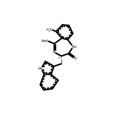 CSC1=N[C@@H](Cc2c[nH]c3ccccc23)C(=O)Nc2cccc(C)c21